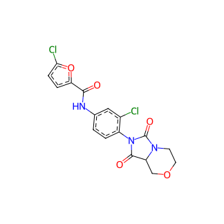 O=C(Nc1ccc(N2C(=O)C3COCCN3C2=O)c(Cl)c1)c1ccc(Cl)o1